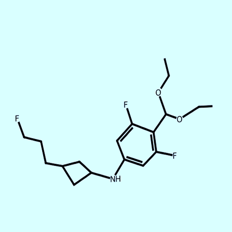 CCOC(OCC)c1c(F)cc(NC2CC(CCCF)C2)cc1F